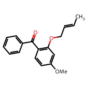 CC=CCOc1cc(OC)ccc1C(=O)c1ccccc1